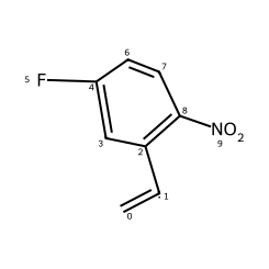 C=[C]c1cc(F)ccc1[N+](=O)[O-]